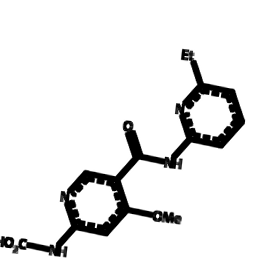 CCc1cccc(NC(=O)c2cnc(NC(=O)O)cc2OC)n1